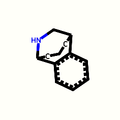 c1ccc2c(c1)C1CCCC2NC1